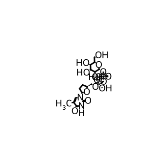 Cc1cn([C@H]2CC[C@@H](COP(=O)(O)OP(=O)(O)O[C@H]3OC(CO)[C@@H](O)C(O)C3O)O2)c(=O)[nH]c1=O